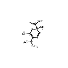 CCCC(=S)C1(N)C=CC(N(C)C(C)=O)=C(C#N)C1